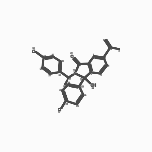 C=C(C)c1ccc2c(c1)C(=O)N([C@@H](C)c1ccc(Cl)cc1)C2(O)c1ccc(Cl)cc1